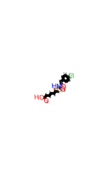 O=C(O)CCCCCC[SH]1N/C(=C/c2ccc(Cl)cc2)OO1